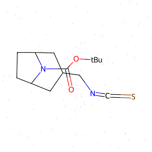 CC(C)(C)OC(=O)N1C2CCC1CC(CN=C=S)C2